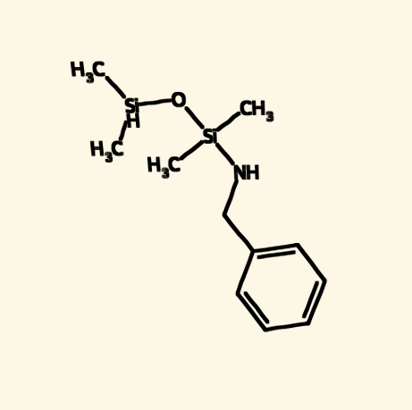 C[SiH](C)O[Si](C)(C)NCc1ccccc1